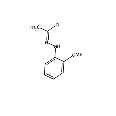 COc1ccccc1NN=C(Cl)C(=O)O